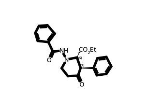 CCOC(=O)[C@@H]1[C@@H](c2ccccc2)C(=O)CCN1NC(=O)c1ccccc1